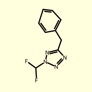 FC(F)n1nnc(Cc2ccccc2)n1